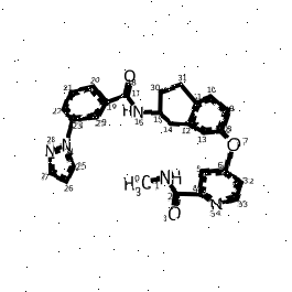 CNC(=O)c1cc(Oc2ccc3c(c2)CC(NC(=O)c2cccc(-n4cccn4)c2)CC3)ccn1